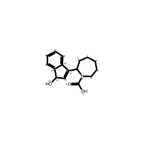 O=C(O)N1CCCCCC1C1=CC(O)c2ccccc21